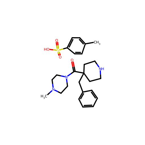 CN1CCN(C(=O)C2(Cc3ccccc3)CCNCC2)CC1.Cc1ccc(S(=O)(=O)O)cc1